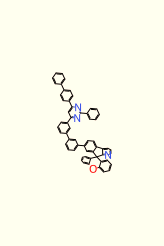 c1ccc(-c2ccc(-c3cc(-c4cccc(-c5cccc(-c6ccc7c(c6)C6(c8ccccc8Oc8ccccc86)c6ncccc6-7)c5)c4)nc(-c4ccccc4)n3)cc2)cc1